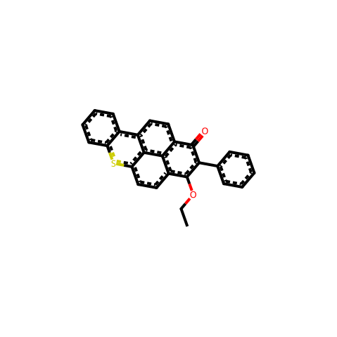 CCOc1c(-c2ccccc2)c(=O)c2ccc3c4ccccc4sc4ccc1c2c43